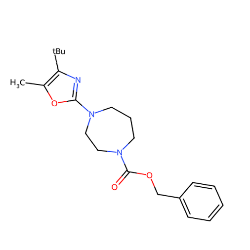 Cc1oc(N2CCCN(C(=O)OCc3ccccc3)CC2)nc1C(C)(C)C